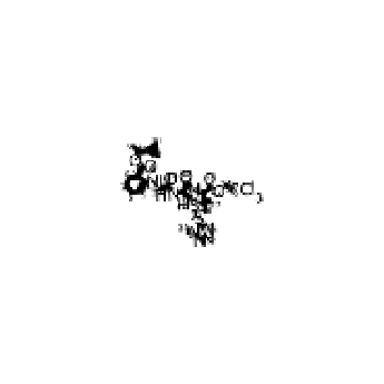 CC(OC(=O)c1ccccc1NCC(=O)NC1C(=O)N2C(C(=O)OCC(Cl)(Cl)Cl)C(C)(CSc3nnnn3C)S[C@H]12)C1CC1